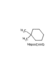 CC1(C)CCCCC1.N=C=O